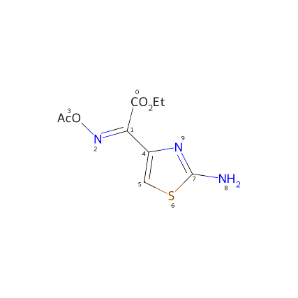 CCOC(=O)C(=NOC(C)=O)c1csc(N)n1